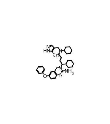 Cc1[nH]ncc1CN(CCCC(C1CCCCC1)N1Cc2cc(Oc3ccccc3)ccc2N=C1N)C1CCCCC1